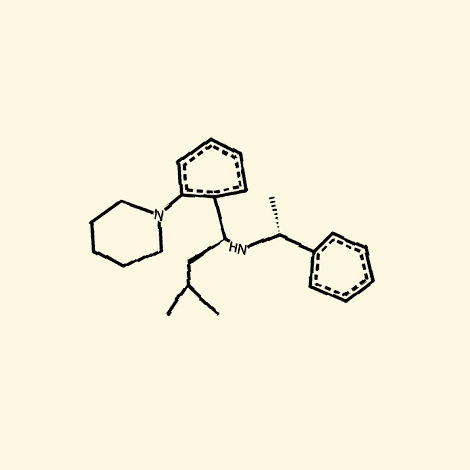 CC(C)C[C@H](N[C@H](C)c1ccccc1)c1ccccc1N1CCCCC1